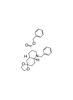 O=C(OCc1ccccc1)[C@H]1C[C@@H]2CC3(CC[C@H]2N(Cc2ccccc2)C1)OCCO3